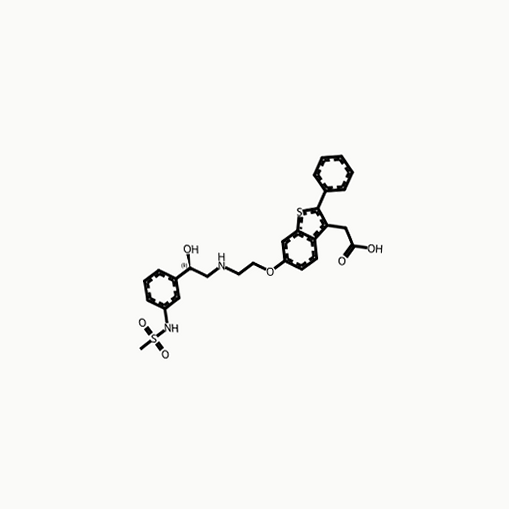 CS(=O)(=O)Nc1cccc([C@@H](O)CNCCOc2ccc3c(CC(=O)O)c(-c4ccccc4)sc3c2)c1